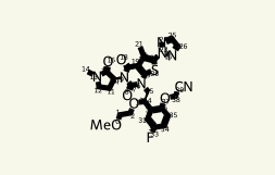 COCCO[C@@H](Cn1c(=O)n([C@H]2CCN(C)C2=O)c(=O)c2c(C)c(-n3nccn3)sc21)c1cc(F)ccc1OCC#N